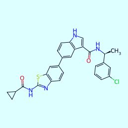 C[C@H](NC(=O)c1c[nH]c2ccc(-c3ccc4nc(NC(=O)C5CC5)sc4c3)cc12)c1cccc(Cl)c1